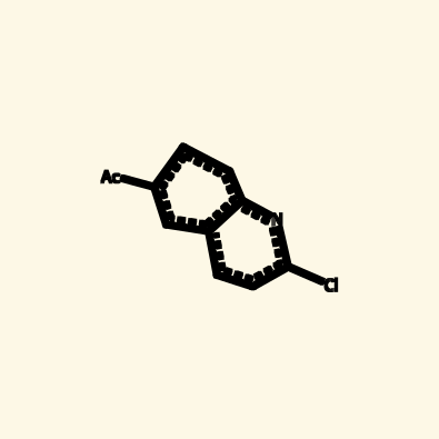 CC(=O)c1ccc2nc(Cl)ccc2c1